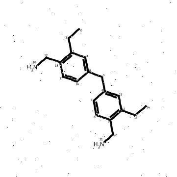 CCc1cc(Cc2ccc(CN)c(CC)c2)ccc1CN